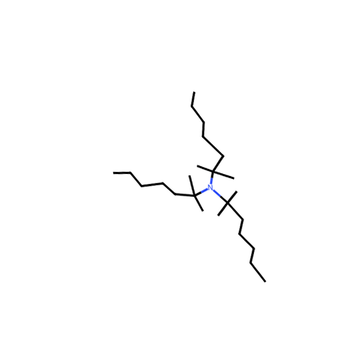 CCCCCC(C)(C)N(C(C)(C)CCCCC)C(C)(C)CCCCC